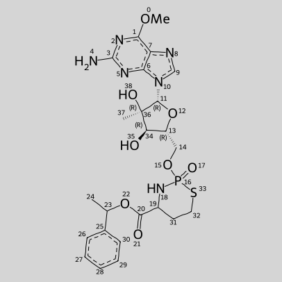 COc1nc(N)nc2c1ncn2[C@@H]1O[C@H](COP2(=O)NC(C(=O)OC(C)c3ccccc3)CCS2)[C@@H](O)[C@@]1(C)O